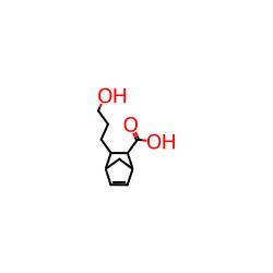 O=C(O)C1C2C=CC(C2)C1CCCO